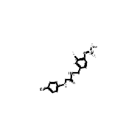 CO[SH](=O)=Nc1ccc(CNC(=O)COc2ccc(C(C)(C)C)cc2)cc1F